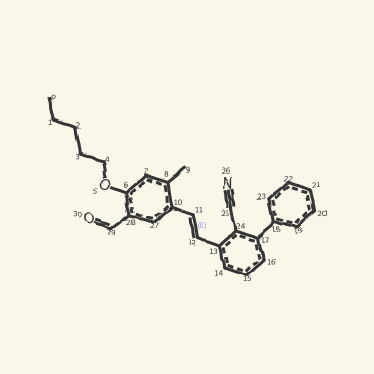 CCCCCOc1cc(C)c(/C=C/c2cccc(-c3ccccc3)c2C#N)cc1C=O